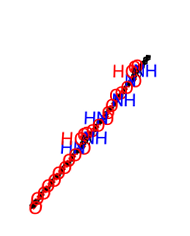 CCCCCCC(=O)N[C@H](CCC(=O)N=CCOCCOCC(=O)NCCOCCOCC(=O)NCCOCCOCC(=O)N[C@@H](CCC(=O)NCCOCCOCCOCCOCCOCCOCCOCCOCCC(C)=O)C(=O)O)C(=O)O